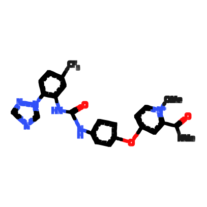 CNC(=O)c1cc(Oc2ccc(NC(=O)Nc3cc(C(F)(F)F)ccc3-n3cncn3)cc2)cc[n+]1OC